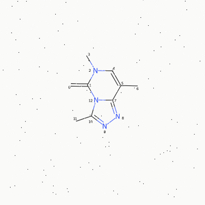 C=C1N(C)C=C(C)c2nnc(C)n21